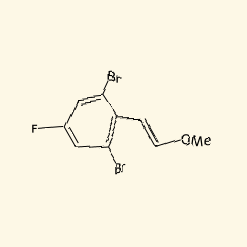 COC=Cc1c(Br)cc(F)cc1Br